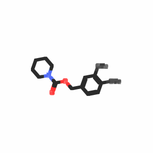 COc1ccc(COC(=O)N2CCCCC2)cc1OC